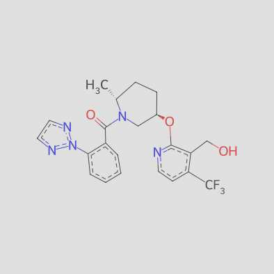 C[C@@H]1CC[C@@H](Oc2nccc(C(F)(F)F)c2CO)CN1C(=O)c1ccccc1-n1nccn1